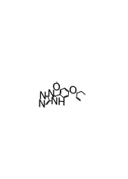 C=CC(CC)Oc1ccc(-c2nc3ncncc3[nH]2)c(OC)c1